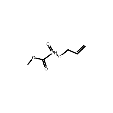 C=CCO[PH](=O)C(=O)OC